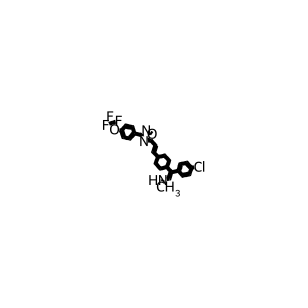 CNC=C(c1ccc(Cl)cc1)C1CCC(C=Cc2nc(-c3ccc(OC(F)(F)F)cc3)no2)CC1